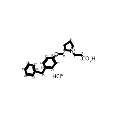 Cl.O=C(O)CCN1CCC[C@H]1COc1ccc(Cc2ccccc2)cc1